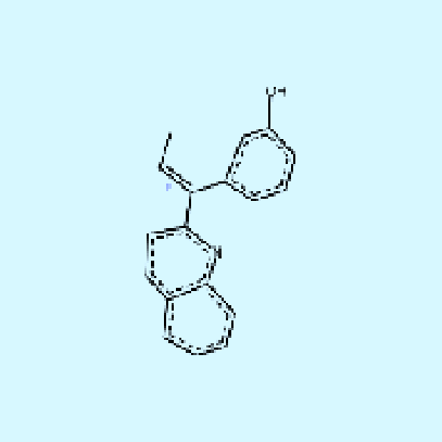 C/C=C(\c1cccc(O)c1)c1ccc2ccccc2n1